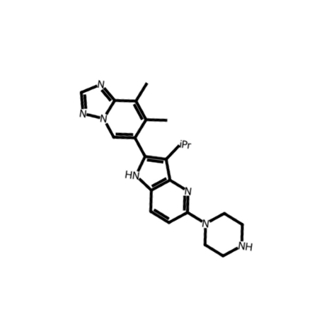 Cc1c(-c2[nH]c3ccc(N4CCNCC4)nc3c2C(C)C)cn2ncnc2c1C